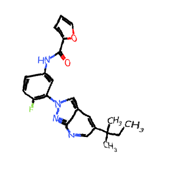 CCC(C)(C)c1cnc2nn(-c3cc(NC(=O)c4ccco4)ccc3F)cc2c1